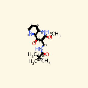 COc1[nH]c2cccnc2c(=O)c1CNC(=O)C(C)(C)C